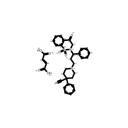 N#CC1(c2ccccc2)CCN(CCC(c2ccccc2)N2CC(=O)c3ccccc3S2(=O)=O)CC1.O=C(O)C=CC(=O)O